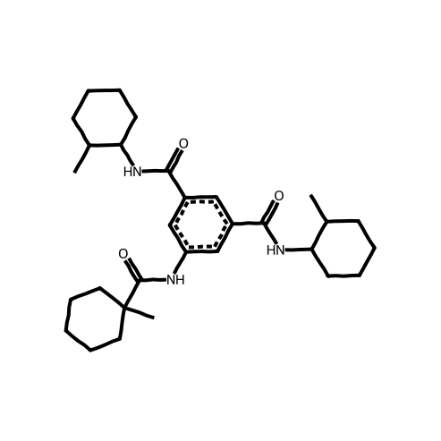 CC1CCCCC1NC(=O)c1cc(NC(=O)C2(C)CCCCC2)cc(C(=O)NC2CCCCC2C)c1